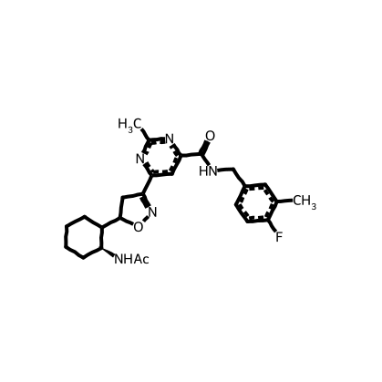 CC(=O)N[C@H]1CCCCC1C1CC(c2cc(C(=O)NCc3ccc(F)c(C)c3)nc(C)n2)=NO1